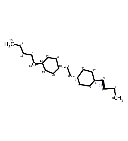 CC/C=C/[C@H]1CC[C@H](CC[C@H]2CC[C@H](OCCCC)CC2)CC1